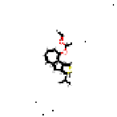 CCOC(C)Oc1ccccc2cc3c(C(C)C)scc3c1-2